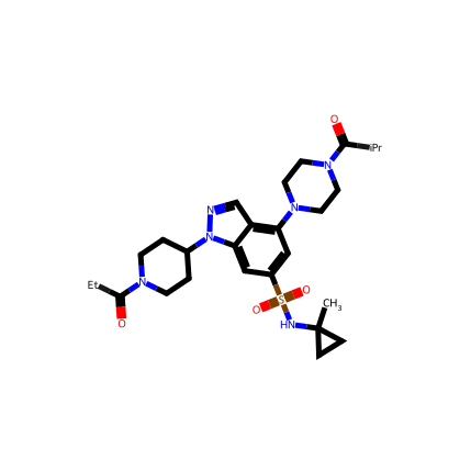 CCC(=O)N1CCC(n2ncc3c(N4CCN(C(=O)C(C)C)CC4)cc(S(=O)(=O)NC4(C)CC4)cc32)CC1